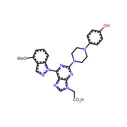 COc1cccc2c1cnn2-c1nc(N2CCN(c3ccc(O)cc3)CC2)nc2c1ncn2CC(=O)O